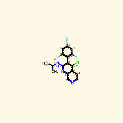 CC(C)Nc1nc2cnccc2c(Cl)c1-c1c(F)cc(F)cc1F